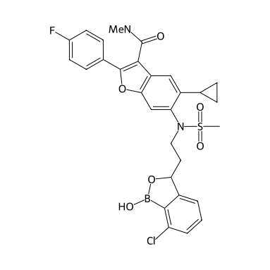 CNC(=O)c1c(-c2ccc(F)cc2)oc2cc(N(CCC3OB(O)c4c(Cl)cccc43)S(C)(=O)=O)c(C3CC3)cc12